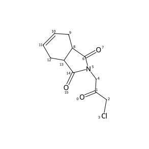 O=C(CCl)CN1C(=O)C2CC=CCC2C1=O